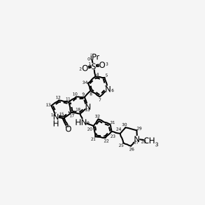 CC(C)S(=O)(=O)c1cncc(-c2cc3cc[nH]c(=O)c3c(Nc3ccc(C4CCN(C)CC4)cc3)n2)c1